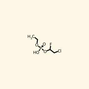 CCOP(=O)(O)OC(F)CCl